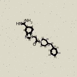 N=C(N)c1ccc2c(c1)ncn2CC(=O)N1CCC(Cc2ccccc2)CC1